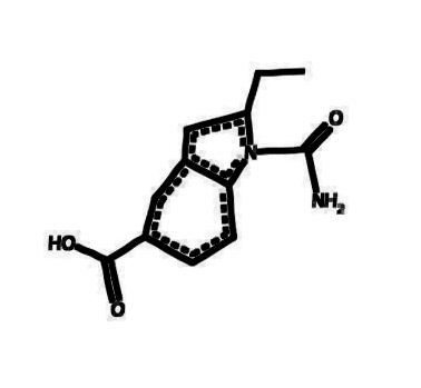 CCc1cc2cc(C(=O)O)ccc2n1C(N)=O